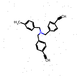 C#Cc1ccc(CN(Cc2ccc([CH2])cc2)Cc2ccc(C#C)cc2)cc1